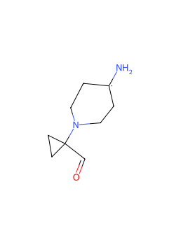 N[C]1CCN(C2(C=O)CC2)CC1